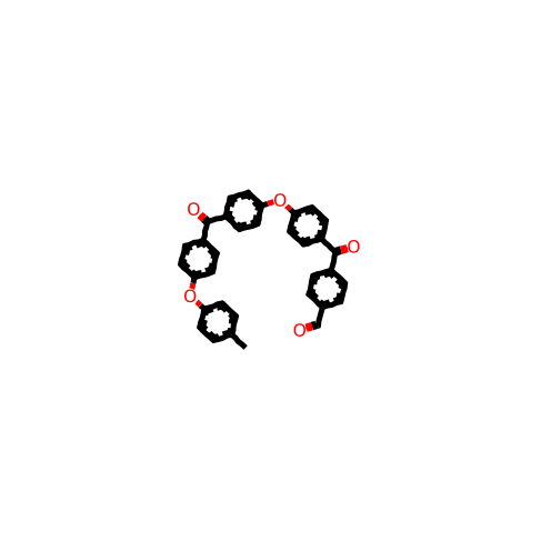 Cc1ccc(Oc2ccc(C(=O)c3ccc(Oc4ccc(C(=O)c5ccc(C=O)cc5)cc4)cc3)cc2)cc1